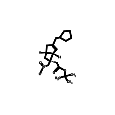 CC(C)(C)OC(=O)C[C@]1(C[N+](=O)[O-])C[C@@H]2CC(CC3CCCC3)=C[C@@H]21